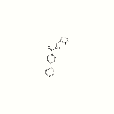 O=C(NCc1cccs1)c1ccc(-c2ccccc2)cc1